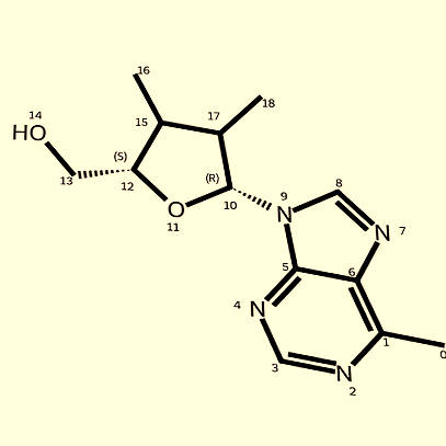 Cc1ncnc2c1ncn2[C@@H]1O[C@H](CO)C(C)C1C